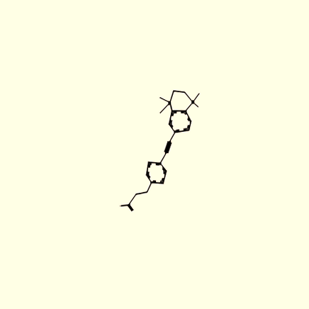 CC1(C)CCC(C)(C)c2cc(C#Cc3ccc(CCC(=O)O)cc3)ccc21